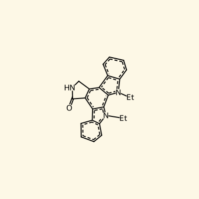 CCn1c2ccccc2c2c3c(c4c5ccccc5n(CC)c4c21)C(=O)NC3